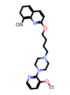 CCOc1cccnc1N1CCN(CCCCOc2ccc3c(n2)=C(N=O)CCC=3)CC1